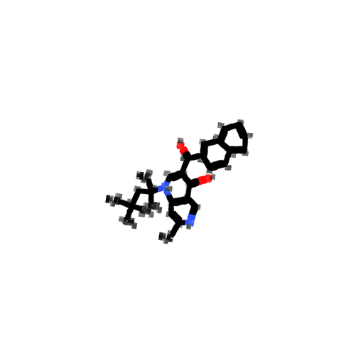 Cc1cc2c(cn1)c(=O)c(C(=O)c1ccc3ccccc3c1)cn2C(C)(C)CC(C)(C)C